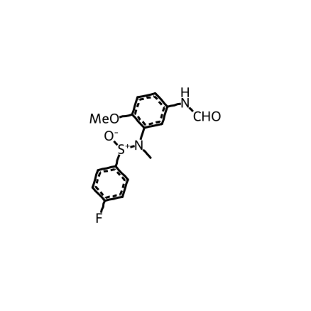 COc1ccc(NC=O)cc1N(C)[S+]([O-])c1ccc(F)cc1